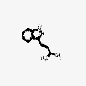 C=C(C)C=Cc1n[nH]c2ccccc12